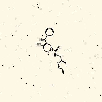 C=C/C=N\C(=C/C)CNC(=O)N1CCc2[nH]nc(-c3ccccc3)c2C1